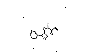 C=CC(=O)C(C)OC1COC1c1ccccc1